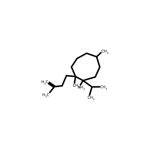 C=C(C)CCC1(C)CCCC(C)CCC1(N)C(C)C